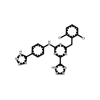 Clc1cccc(Cl)c1Cc1nc(Nc2ccc(-c3nnn[nH]3)cc2)nc(-c2nnn[nH]2)n1